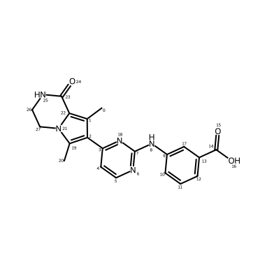 Cc1c(-c2ccnc(Nc3cccc(C(=O)O)c3)n2)c(C)n2c1C(=O)NCC2